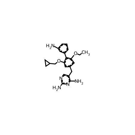 CCOc1cc(Cc2cnc(N)nc2N)cc(OCC2CC2)c1-c1cccc(N)c1